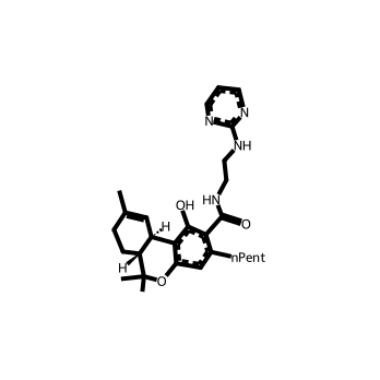 CCCCCc1cc2c(c(O)c1C(=O)NCCNc1ncccn1)[C@@H]1C=C(C)CC[C@H]1C(C)(C)O2